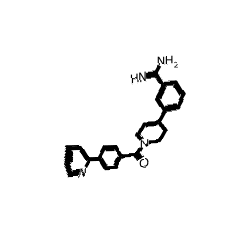 N=C(N)c1cccc(C2=CCN(C(=O)c3ccc(-c4ccccn4)cc3)CC2)c1